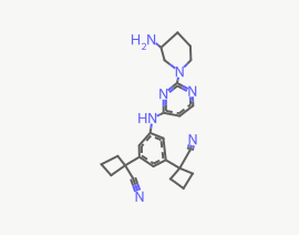 N#CC1(c2cc(Nc3ccnc(N4CCCC(N)C4)n3)cc(C3(C#N)CCC3)c2)CCC1